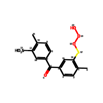 Cc1ccc(C(=O)c2ccc(C)c(S(=O)(=O)O)c2)cc1SOOO